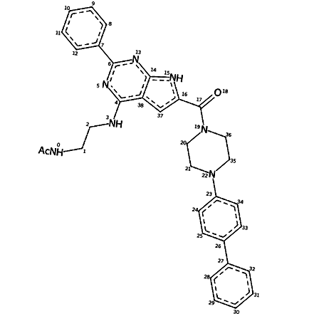 CC(=O)NCCNc1nc(-c2ccccc2)nc2[nH]c(C(=O)N3CCN(c4ccc(-c5ccccc5)cc4)CC3)cc12